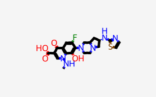 CNn1cc(C(=O)O)c(=O)c2cc(F)c(N3CCN4C[C@@H](Nc5nccs5)CC4C3)c(O)c21